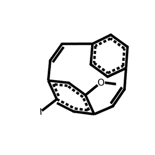 COc1cc2c(I)cc1/C=C\c1ccc(cc1)/C=C\2